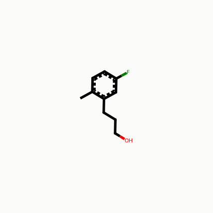 Cc1ccc(F)cc1CCCO